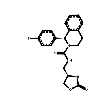 O=C1N[C@H](CNC(=O)N2CCc3ccccc3[C@@H]2c2ccc(F)cc2)CO1